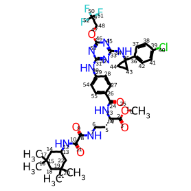 COC(=O)[C@H](CCNC(=O)C(=O)NC1CC(C)(C)CC(C)(C)C1)NC(=O)c1ccc(Nc2nc(NC3(c4ccc(Cl)cc4)CC3)nc(OCC(F)(F)F)n2)cc1